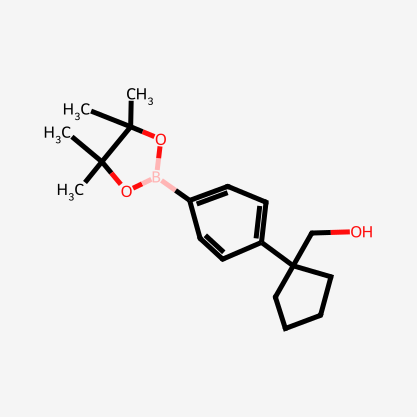 CC1(C)OB(c2ccc(C3(CO)CCCC3)cc2)OC1(C)C